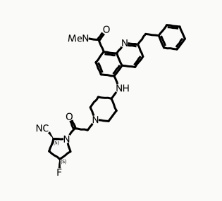 CNC(=O)c1ccc(NC2CCN(CC(=O)N3C[C@@H](F)C[C@H]3C#N)CC2)c2ccc(Cc3ccccc3)nc12